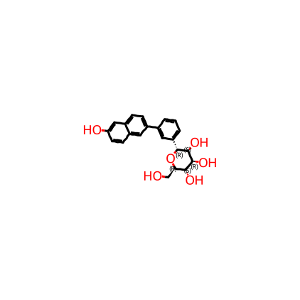 OC[C@H]1O[C@H](c2cccc(-c3ccc4cc(O)ccc4c3)c2)[C@@H](O)[C@@H](O)[C@@H]1O